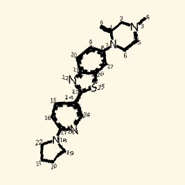 C=C1CN(C)CCN1c1ccc2nc(-c3ccc(N4CCCC4)nc3)sc2c1